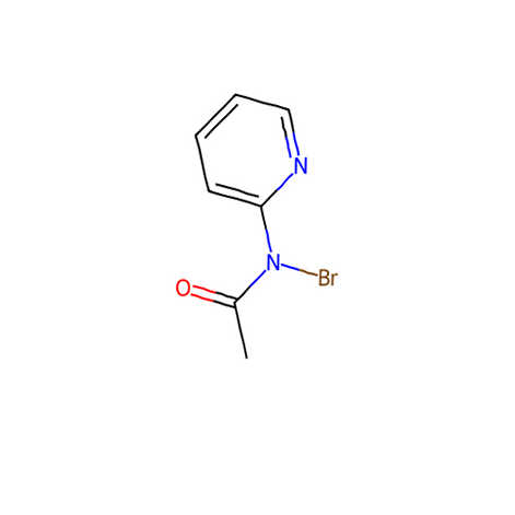 CC(=O)N(Br)c1ccccn1